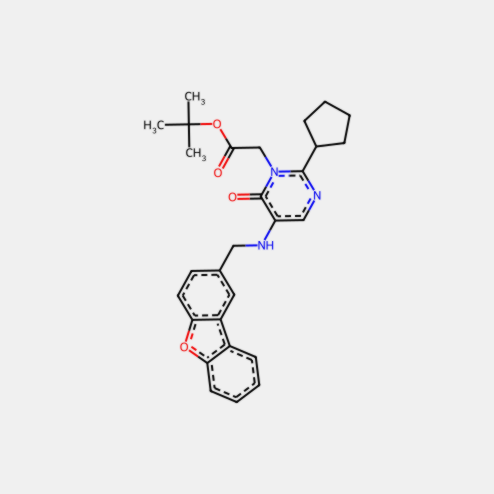 CC(C)(C)OC(=O)Cn1c(C2CCCC2)ncc(NCc2ccc3oc4ccccc4c3c2)c1=O